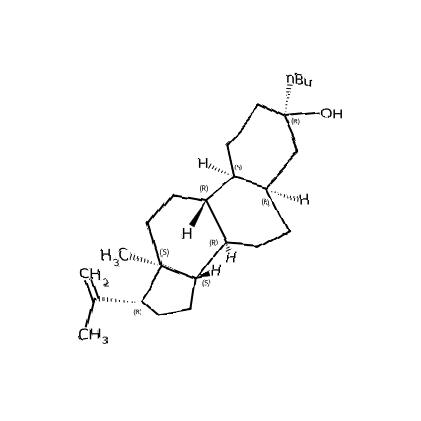 C=C(C)[C@H]1CC[C@H]2[C@@H]3CC[C@@H]4C[C@@](O)(CCCC)CC[C@@H]4[C@H]3CC[C@]12C